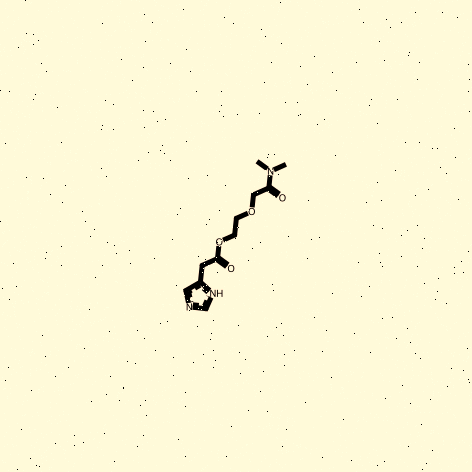 CN(C)C(=O)COCCOC(=O)Cc1cnc[nH]1